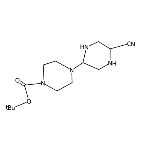 CC(C)(C)OC(=O)N1CCN(C2CNC(C#N)CN2)CC1